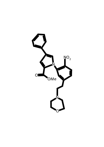 COC(=O)c1cc(-c2ccccc2)cn1-c1cc(CCN2CCOCC2)ccc1[N+](=O)[O-]